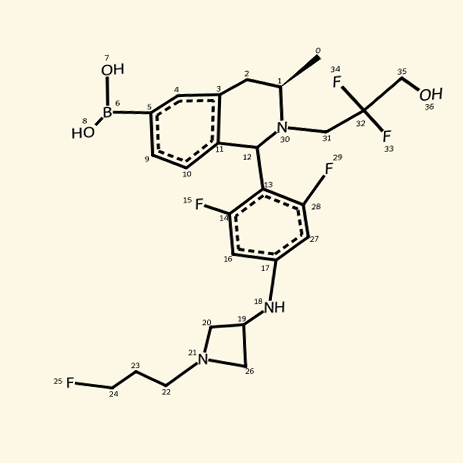 C[C@@H]1Cc2cc(B(O)O)ccc2C(c2c(F)cc(NC3CN(CCCF)C3)cc2F)N1CC(F)(F)CO